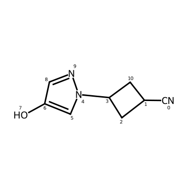 N#CC1CC(n2cc(O)cn2)C1